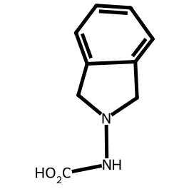 O=C(O)NN1Cc2ccccc2C1